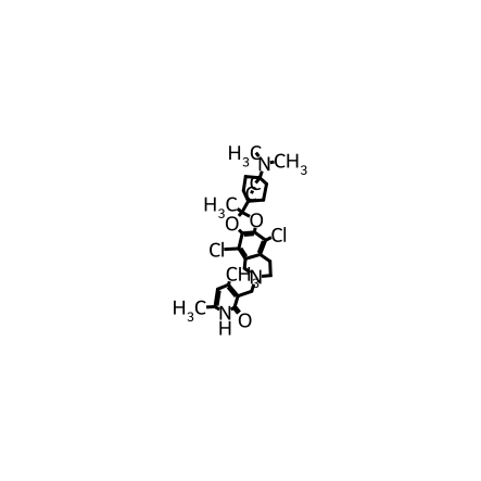 Cc1cc(C)c(CN2CCc3c(Cl)c4c(c(Cl)c3C2)OC(C)(C23CCC(N(C)C)(CC2)CC3)O4)c(=O)[nH]1